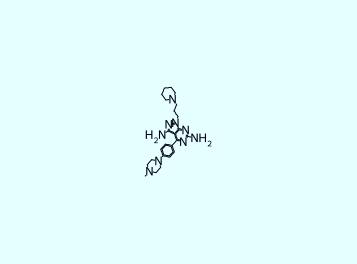 CN1CCN(c2ccc(-c3nc(N)nc4c3c(N)nn4CCCN3CCCCC3)cc2)CC1